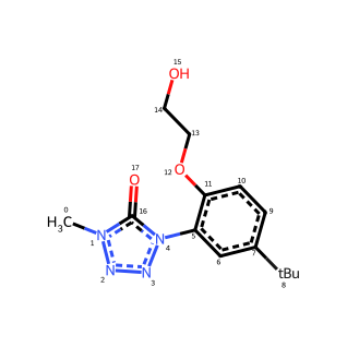 Cn1nnn(-c2cc(C(C)(C)C)ccc2OCCO)c1=O